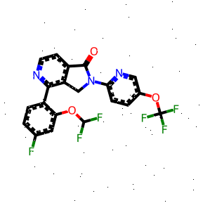 O=C1c2ccnc(-c3ccc(F)cc3OC(F)F)c2CN1c1ccc(OC(F)(F)F)cn1